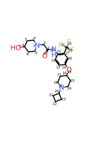 O=C(CN1CCC(O)CC1)Nc1ccc(OC2CCN(C3CCC3)CC2)cc1C(F)(F)F